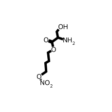 NC(CO)C(=O)OCCCCO[N+](=O)[O-]